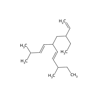 C=CC(CC)CC(C=CC(C)C)C=CC(C)CC